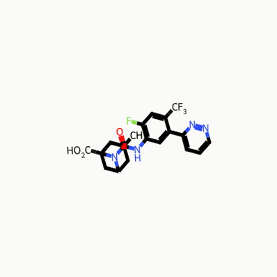 CC1CC2CC(C(=O)O)(C1)N2C(=O)Nc1cc(-c2cccnn2)c(C(F)(F)F)cc1F